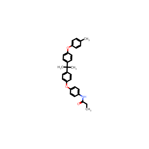 CCC(=O)Nc1ccc(Oc2ccc(C(C)(C)c3ccc(Oc4ccc(C)cc4)cc3)cc2)cc1